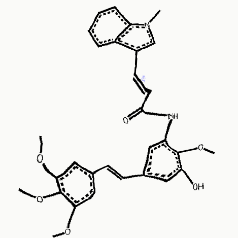 COc1cc(C=Cc2cc(O)c(OC)c(NC(=O)/C=C/c3cn(C)c4ccccc34)c2)cc(OC)c1OC